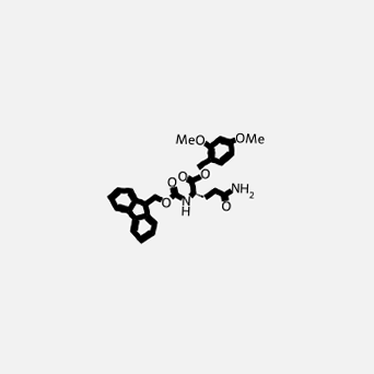 COc1ccc(COC(=O)[C@H](CCC(N)=O)NC(=O)OCC2c3ccccc3-c3ccccc32)c(OC)c1